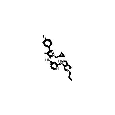 CCCN1CC2=C(C1)N(c1cc(Nc3c(C)c(-c4ccc(F)cc4)nn3CC3CC3)ncn1)NC2